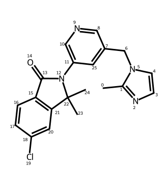 Cc1nccn1Cc1cncc(N2C(=O)c3ccc(Cl)cc3C2(C)C)c1